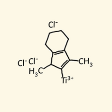 CC1=[C]([Ti+3])C(C)C2=C1CCCC2.[Cl-].[Cl-].[Cl-]